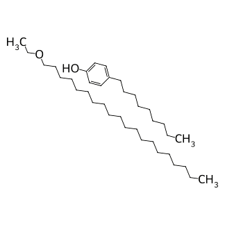 CCCCCCCCCCCCCCCCCCCCOCC.CCCCCCCCCc1ccc(O)cc1